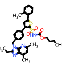 CCCCOC(=O)NS(=O)(=O)c1sc(-c2ccccc2C)cc1-c1ccc(Cn2c(CC)nc3c(C)cc(C)nc32)cc1